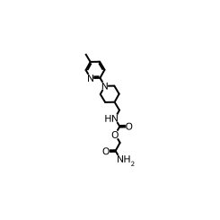 Cc1ccc(N2CCC(CNC(=O)OCC(N)=O)CC2)nc1